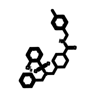 Cc1ccc(CNC(=O)C2CCC(CN(Cc3ccccc3)S(=O)(=O)c3ccccc3C(F)(F)F)CC2)cc1